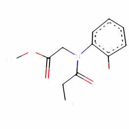 CCC(=O)N(CC(=O)OC)c1ccccc1O